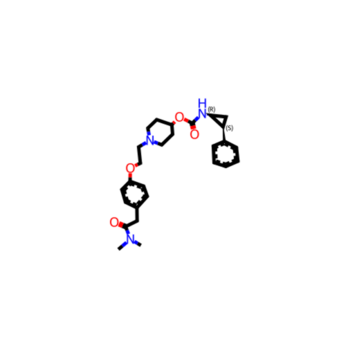 CN(C)C(=O)Cc1ccc(OCCN2CCC(OC(=O)N[C@@H]3C[C@H]3c3ccccc3)CC2)cc1